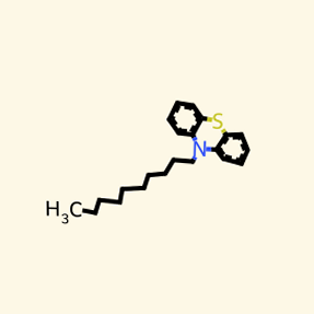 CCCCCCCCCCN1c2ccccc2Sc2ccccc21